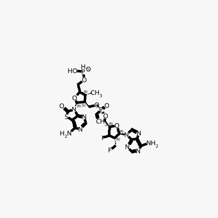 C=C[P@@](=O)(OC[C@H]1[C@H](n2c(=O)sc3c(N)ncnc32)OC(CO[PH](=O)O)[C@@H]1C)OC[C@H]1O[C@@H](n2cnc3c(N)ncnc32)[C@H](CF)C1I